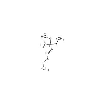 CCCC=CC(C)(CC)CO